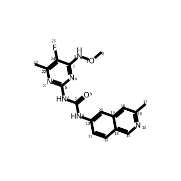 CONc1nc(NC(=O)Nc2ccc3cnc(C)cc3c2)nc(C)c1F